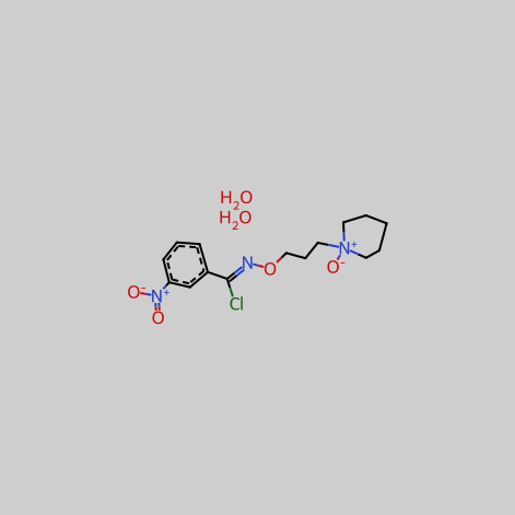 O.O.O=[N+]([O-])c1cccc(/C(Cl)=N/OCCC[N+]2([O-])CCCCC2)c1